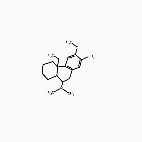 CCC12CCCCC1C(N(C)C)Cc1cc(C)c(OC)cc12